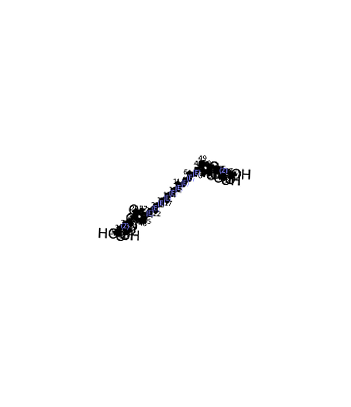 CC1=C(/C=C/C(C)=C/C=C/C(C)=C/C=C/C=C(C)/C=C/C=C(C)/C=C/C2=C(C)C(=O)C(OC(=O)/C=C(/CC(=O)O)C(=O)O)CC2(C)C)C(C)(C)CC(OC(=O)/C=C(/CC(=O)O)C(=O)O)C1=O